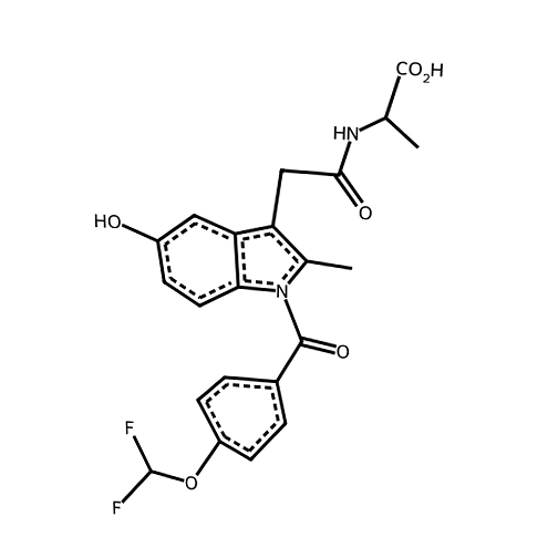 Cc1c(CC(=O)NC(C)C(=O)O)c2cc(O)ccc2n1C(=O)c1ccc(OC(F)F)cc1